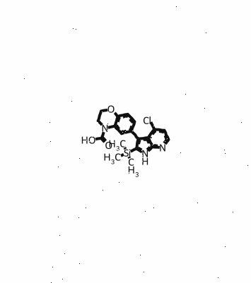 C[Si](C)(C)c1[nH]c2nccc(Cl)c2c1-c1ccc2c(c1)N(C(=O)O)CCO2